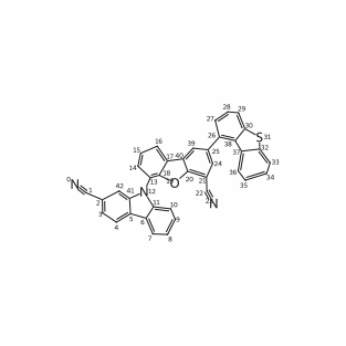 N#Cc1ccc2c3ccccc3n(-c3cccc4c3oc3c(C#N)cc(-c5cccc6sc7ccccc7c56)cc34)c2c1